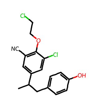 CC(Cc1ccc(O)cc1)c1cc(Cl)c(OCCCl)c(C#N)c1